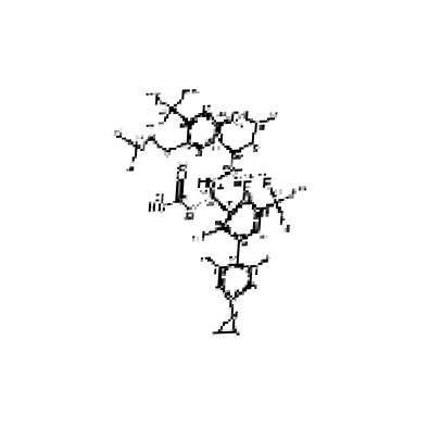 Cc1cc(C2CC2)cc(C)c1-c1cc(C(F)(F)F)c(F)c([C@H](CC(=O)O)NC(=O)C(CC(C)C)n2cc(CCN(C)C)c(C(F)(F)F)cc2=O)c1F